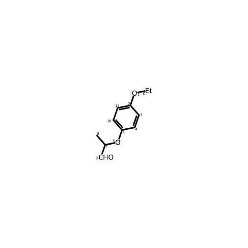 CCOc1ccc(OC(C)C=O)cc1